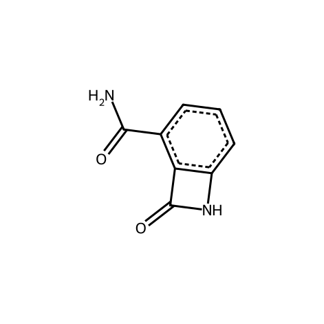 NC(=O)c1cccc2c1C(=O)N2